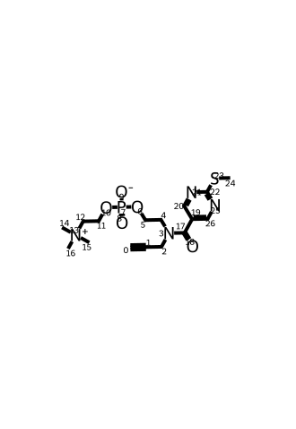 C#CCN(CCOP(=O)([O-])OCC[N+](C)(C)C)C(=O)c1cnc(SC)nc1